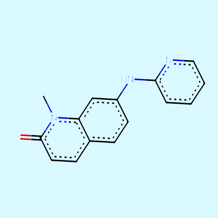 Cn1c(=O)ccc2ccc(Nc3ccccn3)cc21